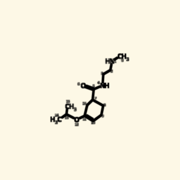 CNCCNC(=O)C1CCC=C(OC(C)C)C1